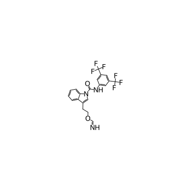 N=COCCc1cn(C(=O)Nc2cc(C(F)(F)F)cc(C(F)(F)F)c2)c2ccccc12